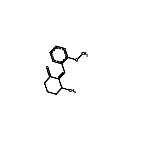 COc1ccccc1C=C1C(=O)CCCC1C